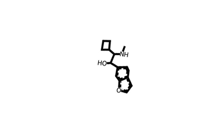 CNC(C1CCC1)C(O)c1ccc2ccoc2c1